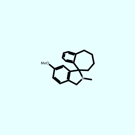 COc1ccc2c(c1)C1(CCCCc3ccccc31)N(C)C2